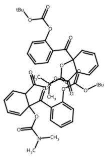 CN(C)C(=O)OC1(C(=O)c2ccccc2OC(=O)OC(C)(C)C)C=CC=CC1C(=O)OOC(=O)C1C=CC=CC1(OC(=O)N(C)C)C(=O)c1ccccc1OC(=O)OC(C)(C)C